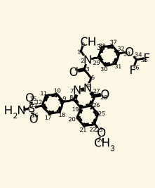 CCN(C(=O)Cn1nc(-c2ccc(S(N)(=O)=O)cc2)c2ccc(OC)cc2c1=O)c1ccc(OC(F)F)cc1